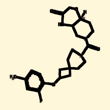 O=C1CO[C@H]2CCN(C(=O)N3CCC4(CC3)CC(Oc3ccc(C(F)(F)F)cc3F)C4)CC2N1